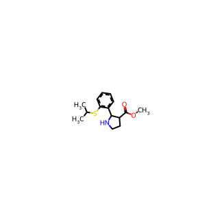 COC(=O)C1CCNC1c1ccccc1SC(C)C